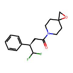 O=C(C[C@H](c1ccccc1)C(F)F)N1CCC2(CC1)CO2